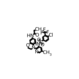 C=CC(=O)Nc1ccc2c(c1)OCCN2c1ncc(C)cc1NS(=O)(=O)c1ccc(Cl)c(C(F)(F)F)c1